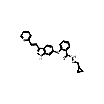 O=C(NOCC1CC1)c1ccccc1Sc1ccc2c(/C=C/c3ccccn3)n[nH]c2c1